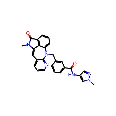 CN1C(=O)c2cccc3c2C1=Cc1cccnc1N3Cc1cccc(C(=O)Nc2cnn(C)c2)c1